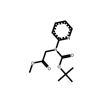 COC(=O)CN(C(=O)OC(C)(C)C)c1ccccn1